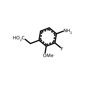 COc1c(CC(=O)O)ccc(N)c1F